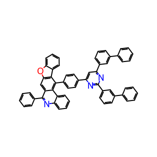 c1ccc(-c2cccc(-c3cc(-c4ccc(-c5c6c(cc7c(-c8ccccc8)nc8ccccc8c57)oc5ccccc56)cc4)nc(-c4cccc(-c5ccccc5)c4)n3)c2)cc1